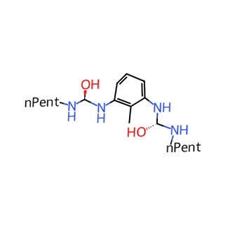 CCCCCN[C@@H](O)Nc1cccc(N[C@@H](O)NCCCCC)c1C